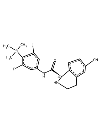 C[Si](C)(C)c1c(F)cc(NC(=O)[C@@H]2NCCc3cc(C#N)ccc32)cc1F